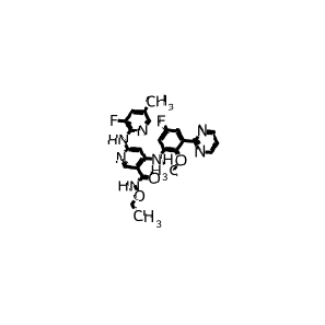 CCONC(=O)c1cnc(Nc2ncc(C)cc2F)cc1Nc1cc(F)cc(-c2ncccn2)c1OC